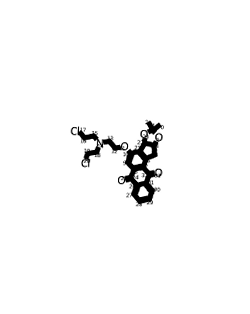 CC1(C)OC2Cc3c4c(cc(OCCN(CCCl)CCCl)c3C2O1)C(=O)c1ccccc1C4=O